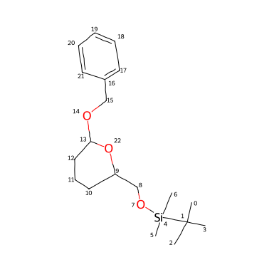 CC(C)(C)[Si](C)(C)OCC1CCCC(OCc2ccccc2)O1